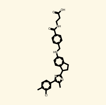 Cc1ccc(-c2nc(C3CCc4cc(NCc5ccc(C(=O)NCCC(=O)O)cc5)ccc43)sc2C)cc1Cl